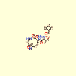 CC(C)C(NC(=O)OCc1ccccc1)C(=O)NC1CCCc2cc(on2)CCNC(=O)C1=O